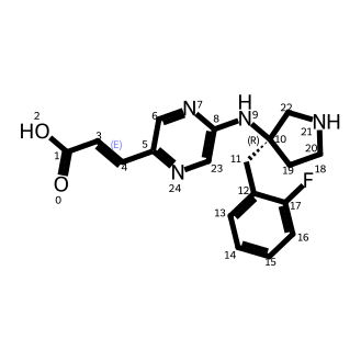 O=C(O)/C=C/c1cnc(N[C@]2(Cc3ccccc3F)CCNC2)cn1